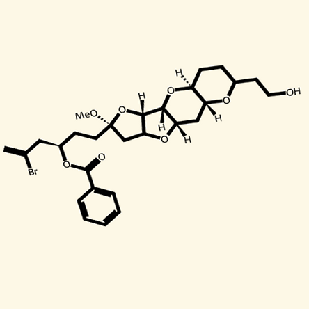 C=C(Br)C[C@@H](CC[C@]1(OC)CC2O[C@H]3C[C@H]4OC(CCO)CC[C@@H]4O[C@H]3[C@H]2O1)OC(=O)c1ccccc1